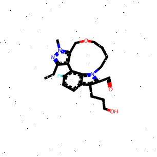 CCc1nn(C)c2c1-c1c(F)ccc3c(CCCO)c(C=O)n(c13)CCCCOC2